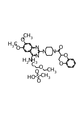 CCOCC.COc1cc2nc(N3CCN(C(=O)C4COc5ccccc5O4)CC3)nc(N)c2cc1OC.CS(=O)(=O)O